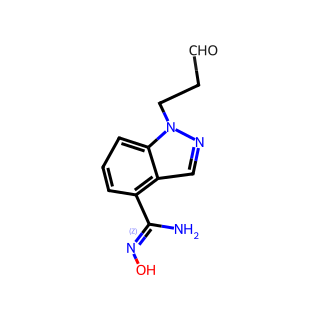 N/C(=N\O)c1cccc2c1cnn2CCC=O